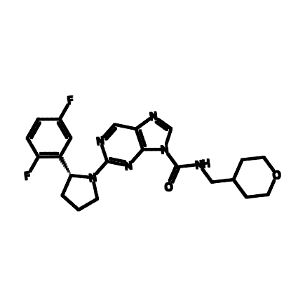 O=C(NCC1CCOCC1)n1cnc2cnc(N3CCC[C@@H]3c3cc(F)ccc3F)nc21